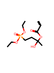 C=CC(=O)OC(C)(O)CCP(=O)(OCC)OCC